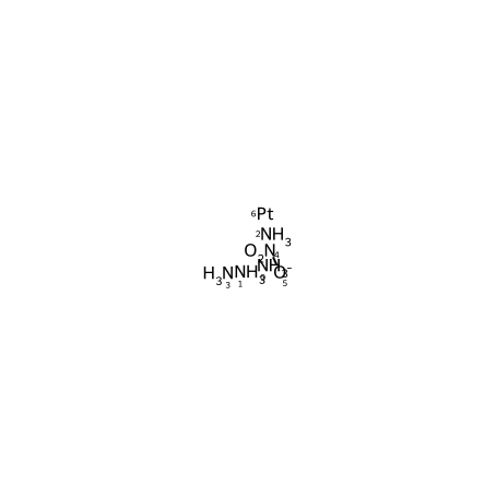 N.N.N.N.O=[N+]([O-])[O-].[Pt]